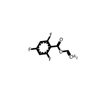 C=COC(=O)c1c(F)cc(F)cc1F